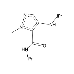 CC(C)NC(=O)c1c(NC(C)C)cnn1C